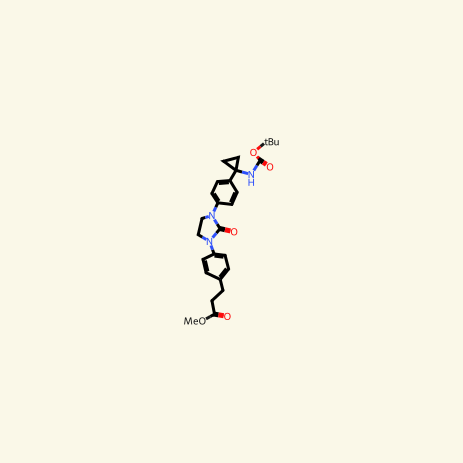 COC(=O)CCc1ccc(N2CCN(c3ccc(C4(NC(=O)OC(C)(C)C)CC4)cc3)C2=O)cc1